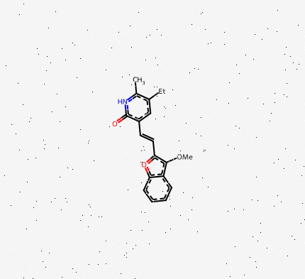 CCc1cc(/C=C/c2oc3ccccc3c2OC)c(=O)[nH]c1C